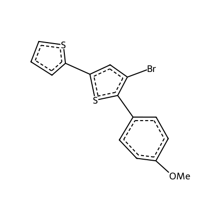 COc1ccc(-c2sc(-c3cccs3)cc2Br)cc1